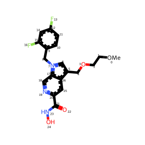 COCCOCc1cn(Cc2ccc(F)cc2F)c2cnc(C(=O)NO)cc12